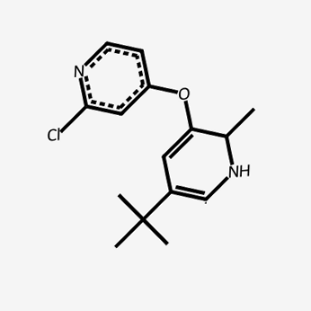 CC1N[C]=C(C(C)(C)C)C=C1Oc1ccnc(Cl)c1